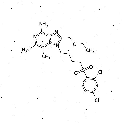 CCOCc1nc2c(N)nc(C)c(C)c2n1CCCCS(=O)(=O)c1ccc(Cl)cc1Cl